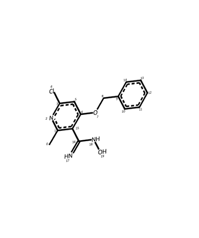 Cc1nc(Cl)cc(OCc2ccccc2)c1C(=N)NO